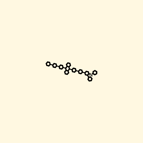 c1ccc(-c2ccc(-c3ccc(-c4c5ccccc5c(-c5ccc(-c6ccc(-c7ccc8c(c7)c7ccccc7n8-c7ccccc7)cc6)cc5)c5ccccc45)cc3)cc2)cc1